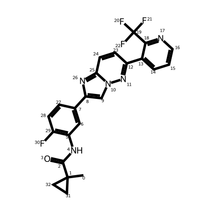 CC1(C(=O)Nc2cc(-c3cn4nc(-c5cccnc5C(F)(F)F)ccc4n3)ccc2F)CC1